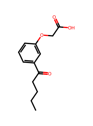 CCCCC(=O)c1cccc(OCC(=O)O)c1